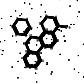 C1=CCCC=C1.FC1=CCCc2c1ccc1c2CCc2ccccc2-1